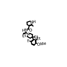 CC/C=C(/NC(=O)C1=C(C)NCCC1)N1CCC(CC)(c2c(F)ccc(OC)c2CC)CC1